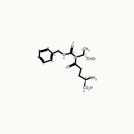 C[C@H]([C]=O)N(C(=O)CC[C@@H](N)C(=O)O)C(=O)OCc1ccccc1